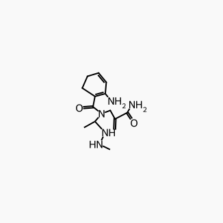 C=C(CN(C(=O)C1=C(N)C=CCC1)C(C)NNC)C(N)=O